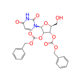 O=C(OCc1ccccc1)OC1C(OC(=O)OCc2ccccc2)[C@@H](n2ccc(=O)[nH]c2=O)O[C@H]1CO